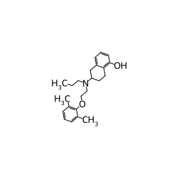 CCCN(CCOc1c(C)cccc1C)C1CCc2c(O)cccc2C1